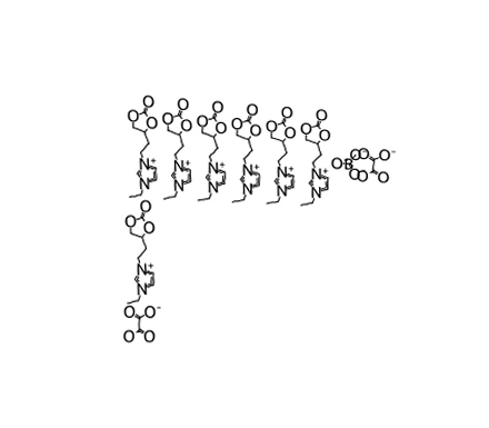 CCn1cc[n+](CCC2COC(=O)O2)c1.CCn1cc[n+](CCC2COC(=O)O2)c1.CCn1cc[n+](CCC2COC(=O)O2)c1.CCn1cc[n+](CCC2COC(=O)O2)c1.CCn1cc[n+](CCC2COC(=O)O2)c1.CCn1cc[n+](CCC2COC(=O)O2)c1.CCn1cc[n+](CCC2COC(=O)O2)c1.O=C([O-])C(=O)[O-].O=C([O-])C(=O)[O-].[O-]B([O-])[O-]